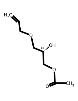 C=CCOC[C@H](O)COC(C)=O